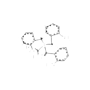 C[CH](C)[Ti]([C](=O)c1ccccc1N)([C](=O)c1ccccc1N)[C](=O)c1ccccc1N